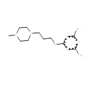 CN1CCN(CCCNc2nc(N)nc(N)n2)CC1